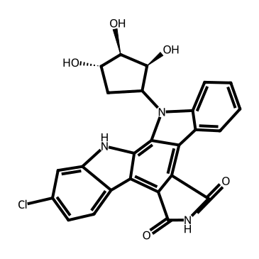 O=C1NC(=O)c2c1c1c3ccc(Cl)cc3[nH]c1c1c2c2ccccc2n1C1C[C@H](O)[C@@H](O)[C@H]1O